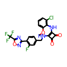 COc1cccc(Cl)c1Nc1c(NCc2ccc(-c3noc(C(F)(F)F)n3)c(F)c2)c(=O)c1=O